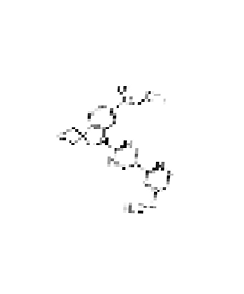 CC[S+]([O-])c1ccc2c(c1)N(c1ncc(-c3cc(OC)ccn3)cn1)CC21COC1